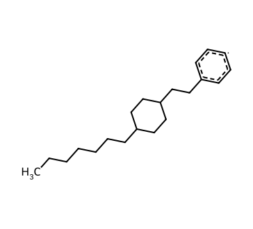 CCCCCCCC1CCC(CCc2cc[c]cc2)CC1